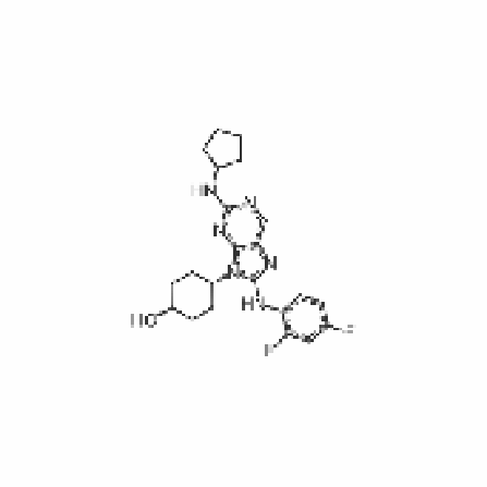 O[C@H]1CC[C@@H](n2c(Nc3ccc(F)cc3F)nc3cnc(NC4CCCC4)nc32)CC1